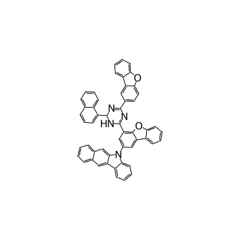 c1ccc2cc3c(cc2c1)c1ccccc1n3-c1cc(C2=NC(c3ccc4oc5ccccc5c4c3)=NC(c3cccc4ccccc34)N2)c2oc3ccccc3c2c1